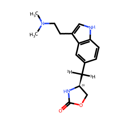 [2H]C([2H])(c1ccc2[nH]cc(CCN(C)C)c2c1)[C@H]1COC(=O)N1